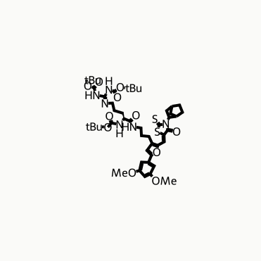 COc1cc(OC)cc(-c2cc(CCCNC(=O)[C@H](CCCN=C(NC(=O)OC(C)(C)C)NC(=O)OC(C)(C)C)NC(=O)OC(C)(C)C)c(/C=C3\SC(=S)N(C4CC5CCC4C5)C3=O)o2)c1